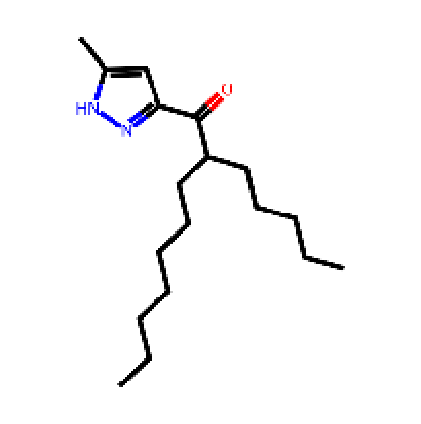 CCCCCCCC(CCCCC)C(=O)c1cc(C)[nH]n1